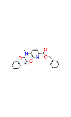 CN1C(=O)/C(=C\c2ccccc2)Oc2nc(C(=O)OCc3ccccc3)ccc21